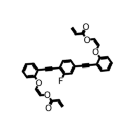 C=CC(=O)O/C=C\Oc1ccccc1C#Cc1ccc(C#Cc2ccccc2O/C=C\OC(=O)C=C)c(F)c1